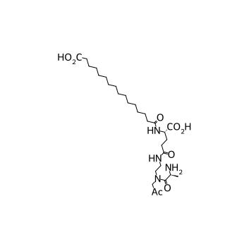 CC(=O)CN(CCNC(=O)CC[C@H](NC(=O)CCCCCCCCCCCCCCC(=O)O)C(=O)O)C(=O)[C@H](C)N